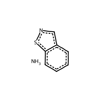 N.c1ccc2sncc2c1